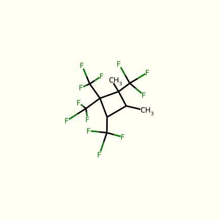 CC1C(C(F)(F)F)C(C(F)(F)F)(C(F)(F)F)C1(C)C(F)(F)F